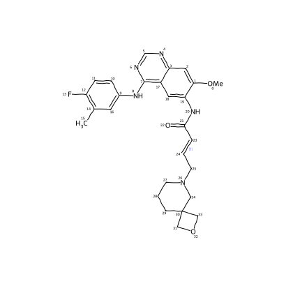 COc1cc2ncnc(Nc3ccc(F)c(C)c3)c2cc1NC(=O)/C=C/CN1CCCC2(COC2)C1